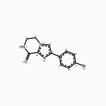 O=C1NCCn2cc(-c3ccc(Br)cc3)nc21